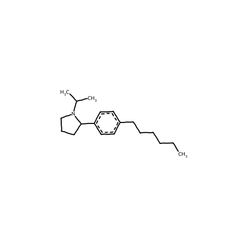 CCCCCCc1ccc(C2CCCN2C(C)C)cc1